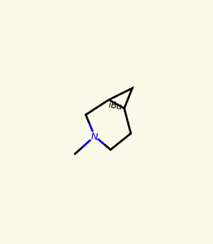 CCC(C)C12CCN(C)CC1C2